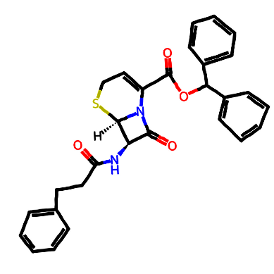 O=C(CCc1ccccc1)N[C@@H]1C(=O)N2C(C(=O)OC(c3ccccc3)c3ccccc3)=CCS[C@H]12